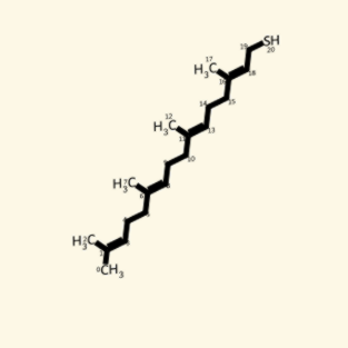 CC(C)=CCC/C(C)=C/CC/C(C)=C/CC/C(C)=C/CS